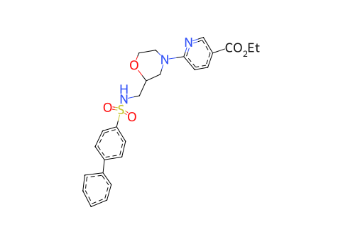 CCOC(=O)c1ccc(N2CCOC(CNS(=O)(=O)c3ccc(-c4ccccc4)cc3)C2)nc1